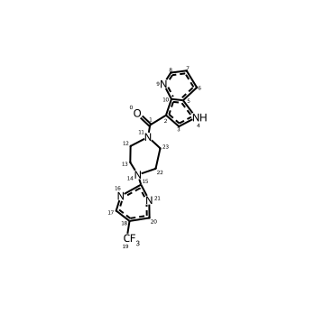 O=C(c1c[nH]c2cccnc12)N1CCN(c2ncc(C(F)(F)F)cn2)CC1